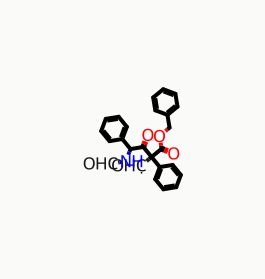 O=[C]C(C(=O)OCc1ccccc1)(C(=O)C(NC=O)c1ccccc1)c1ccccc1